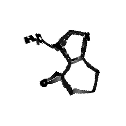 Cn1cnc2c1C(=O)CCC2